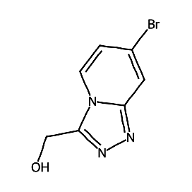 OCc1nnc2cc(Br)ccn12